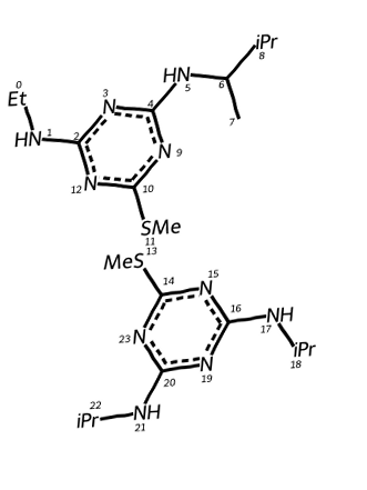 CCNc1nc(NC(C)C(C)C)nc(SC)n1.CSc1nc(NC(C)C)nc(NC(C)C)n1